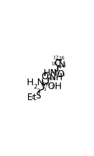 CCSCC[C@@H](N)C(O)C(=O)NNC(=O)C1=NC=CC1